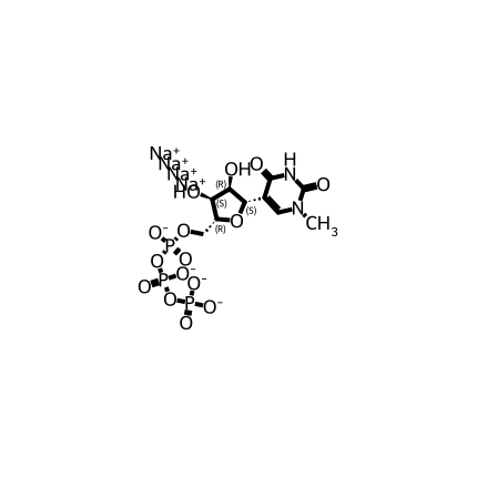 Cn1cc([C@@H]2O[C@H](COP(=O)([O-])OP(=O)([O-])OP(=O)([O-])[O-])[C@@H](O)[C@H]2O)c(=O)[nH]c1=O.[Na+].[Na+].[Na+].[Na+]